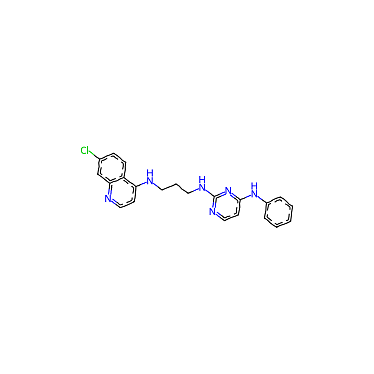 Clc1ccc2c(NCCCNc3nccc(Nc4ccccc4)n3)ccnc2c1